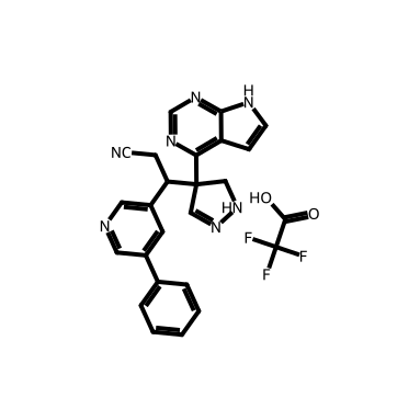 N#CCC(c1cncc(-c2ccccc2)c1)C1(c2ncnc3[nH]ccc23)C=NNC1.O=C(O)C(F)(F)F